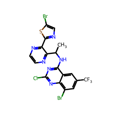 CC(Nc1nc(Cl)nc2c(Br)cc(C(F)(F)F)cc12)c1nccnc1-c1ncc(Br)s1